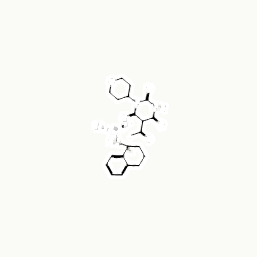 CC(C)(C)[S@+]([O-])N[C@@]1(CC(=O)C2C(=O)NC(=O)N(C3CCOCC3)C2=O)CCCc2ccccc21